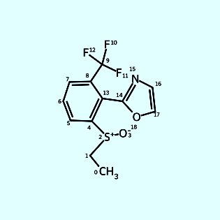 CC[S+]([O-])c1cccc(C(F)(F)F)c1-c1ncco1